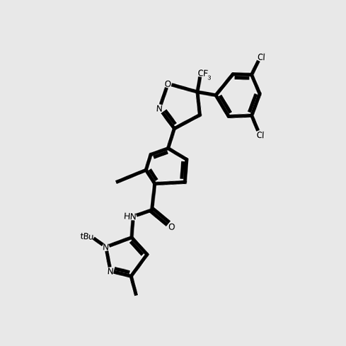 Cc1cc(NC(=O)c2ccc(C3=NOC(c4cc(Cl)cc(Cl)c4)(C(F)(F)F)C3)cc2C)n(C(C)(C)C)n1